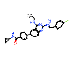 O=C(NC1CC1)c1ccc(-c2ccc3nc(NCc4ccc(F)cc4)nc(NCC(F)(F)F)c3c2)cc1